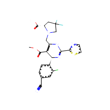 COC(=O)C1=C(CN2CC(F)(F)C[C@H]2C(=O)O)NC(c2nccs2)=N[C@H]1c1ccc(C#N)cc1Cl